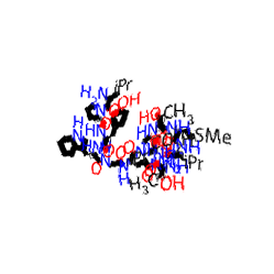 CSCC[C@H](NC(=O)[C@@H](NC(=O)CNC(=O)[C@H](CCC(N)=O)NC(=O)CNC(=O)[C@H](Cc1c[nH]c2ccccc12)NC(=O)[C@H](Cc1ccc(O)cc1)NC(=O)[C@@H]1CCCN1C(=O)[C@@H](N)CC(C)C)[C@@H](C)O)C(=O)N[C@H](C(=O)N[C@H](C(=O)N[C@H](C(=O)O)C(C)C)[C@@H](C)O)C(C)C